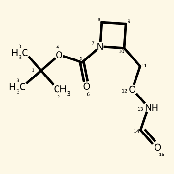 CC(C)(C)OC(=O)N1CCC1CONC=O